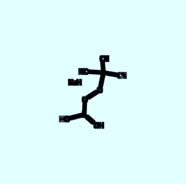 N#CC(C#N)(C#N)OOB(O)O.[NaH]